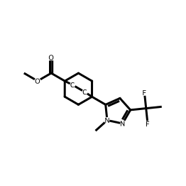 COC(=O)C12CCC(c3cc(C(C)(F)F)nn3C)(CC1)CC2